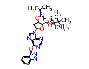 CC(C)=NOC1C[C@H](n2cnc3c(On4nnc5ccccc54)ncnc32)O[C@@H]1CO[Si](C)(C)C(C)(C)C